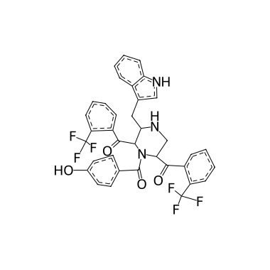 O=C(c1ccccc1C(F)(F)F)C1CNC(Cc2c[nH]c3ccccc23)C(C(=O)c2ccccc2C(F)(F)F)N1C(=O)c1ccc(O)cc1